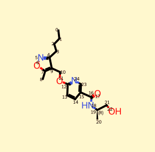 CCCCc1noc(C)c1COc1ccc(C(=O)N[C@H](C)CO)cn1